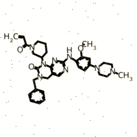 C=CC(=O)N1CCCC(N2C(=O)N(Cc3ccccc3)Cc3cnc(Nc4ccc(N5CCN(C)CC5)cc4OC)nc32)C1